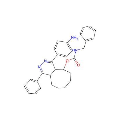 Nc1ccc(C2=NN=C(c3ccccc3)C3CCCCCC(OC(=O)NCc4ccccc4)C23)cc1